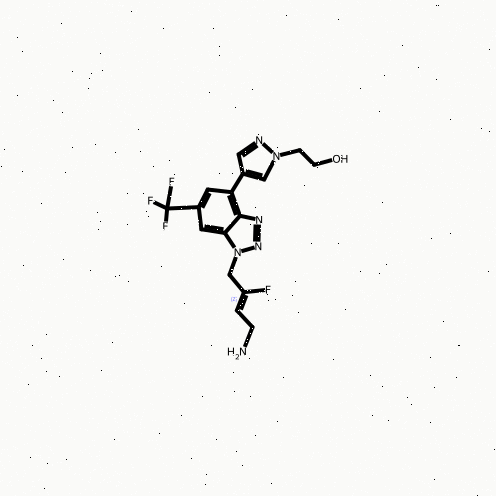 NC/C=C(\F)Cn1nnc2c(-c3cnn(CCO)c3)cc(C(F)(F)F)cc21